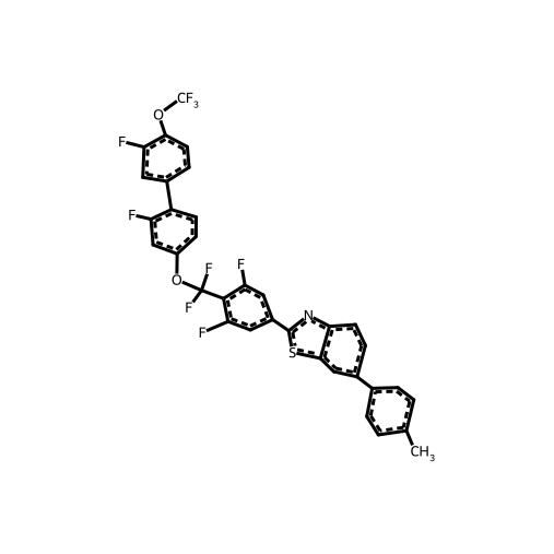 Cc1ccc(-c2ccc3nc(-c4cc(F)c(C(F)(F)Oc5ccc(-c6ccc(OC(F)(F)F)c(F)c6)c(F)c5)c(F)c4)sc3c2)cc1